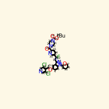 C[C@@H](Oc1ccc2c(c1)c(/C=C(\F)c1ccc(C(=O)N3CCN(C(=O)OC(C)(C)C)CC3)nc1)nn2C1CCCCO1)c1c(Cl)cncc1Cl